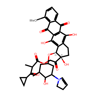 COc1cccc2c1C(=O)c1c(O)c3c(c(O)c1C2=O)CC[C@](O)(C(=O)COC(=O)C(C)C(=O)C1CC1)[C@H]3OC1CC(C)C(O)C(N2C=CCC2)C1